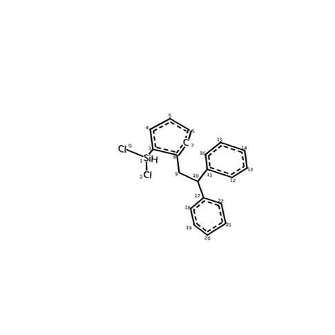 Cl[SiH](Cl)c1ccccc1CC(c1ccccc1)c1ccccc1